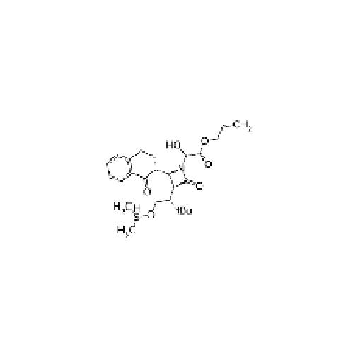 C=CCOC(=O)C(O)N1C(=O)[C@@H]([C@@H](CO[SiH](C)C)C(C)(C)C)[C@H]1[C@H]1CCc2ccccc2C1=O